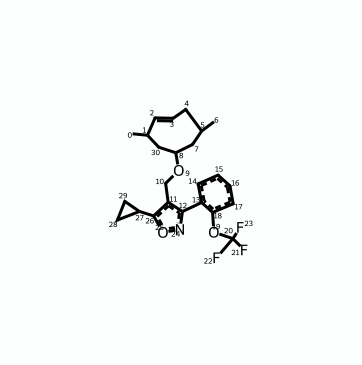 CC1/C=C/CC(C)CC(OCc2c(-c3ccccc3OC(F)(F)F)noc2C2CC2)C1